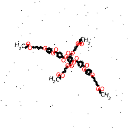 C=CC(=O)OCCCCCCOc1ccc(OC(=O)C2CCC(C(=O)Oc3cc(C(=O)OCCCCOC(=O)C=C)c(OC(=O)C4CCC(C(=O)Oc5ccc(OCCCCCCOC(=O)C=C)cc5)CC4)cc3C(=O)OCCCCOC(=O)C=C)CC2)cc1